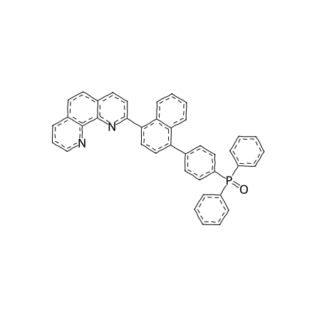 O=P(c1ccccc1)(c1ccccc1)c1ccc(-c2ccc(-c3ccc4ccc5cccnc5c4n3)c3ccccc23)cc1